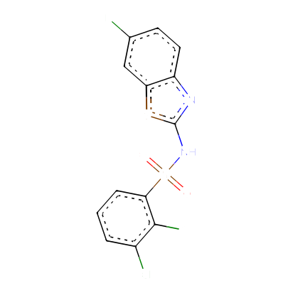 O=S(=O)(Nc1nc2ccc(F)cc2s1)c1cccc(Cl)c1Cl